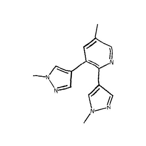 Cc1cnc(-c2cnn(C)c2)c(-c2cnn(C)c2)c1